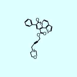 O=C(OCC#CCN1CCOCC1)c1cc(-c2ccccc2)c(=O)n2ccc3ccsc3c12